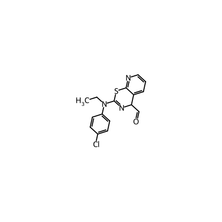 CCN(C1=NC(C=O)c2cccnc2S1)c1ccc(Cl)cc1